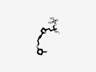 CC(N)(CCc1ccc(C#CCCOc2cccc(F)c2)s1)COP(=O)(O)O